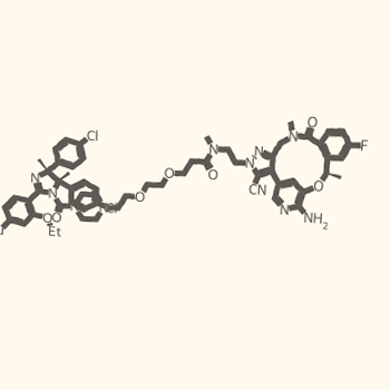 CCOc1cc(C(C)(C)C)ccc1C1=N[C@](C)(c2ccc(Cl)cc2)[C@](C)(c2ccc(Cl)cc2)N1C(=O)N1CCN(CCOCCOCCC(=O)N(C)CCn2nc3c(c2C#N)-c2cnc(N)c(c2)O[C@H](C)c2cc(F)ccc2C(=O)N(C)C3)CC1